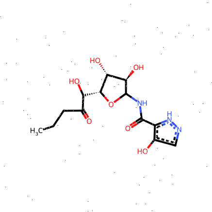 CCCC(=O)C(O)[C@H]1OC(NC(=O)c2[nH]ncc2O)[C@H](O)[C@H]1O